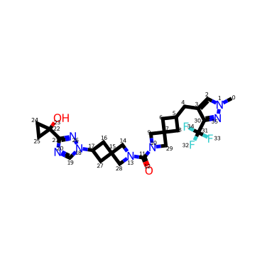 Cn1cc(CC2CC3(C2)CN(C(=O)N2CC4(CC(n5cnc(C6(O)CC6)n5)C4)C2)C3)c(C(F)(F)F)n1